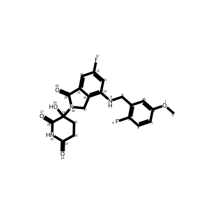 COc1ccc(F)c(CNc2cc(F)cc3c2CN(C2(O)CCC(=O)NC2=O)C3=O)c1